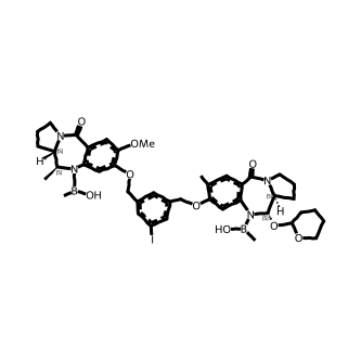 COc1cc2c(cc1OCc1cc(I)cc(COc3cc4c(cc3C)C(=O)N3CCC[C@H]3[C@H](OC3CCCCO3)N4B(C)O)c1)N(B(C)O)[C@@H](C)[C@@H]1CCCN1C2=O